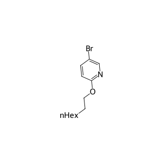 CCCCCCCCOc1ccc(Br)cn1